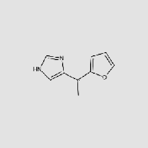 C[C](c1c[nH]cn1)c1ccco1